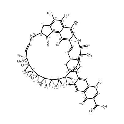 C=C(O)c1cn(CC)c2cc(N3CCN(/N=C/c4c5c(O)c6c(O)c(C)c7c(c6c4O)C(=O)[C@@](C)(O/C=C/[C@H](OC)[C@@H](C)[C@@H](OC(C)=O)[C@H](C)[C@H](O)[C@H](C)[C@@H](O)[C@@H](C)/C=C/C=C(/C)C(=O)N5)O7)CC3)c(F)cc2c1=O